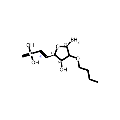 B[C@@H]1O[C@H](/C=C/P(=C)(O)O)[C@H](O)C1OCCCC